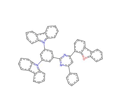 c1ccc(-c2cc(-c3cccc4c3oc3ccccc34)nc(-c3cc(-n4c5ccccc5c5ccccc54)cc(-n4c5ccccc5c5ccccc54)c3)n2)cc1